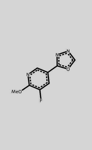 COc1ncc(-c2nnco2)cc1F